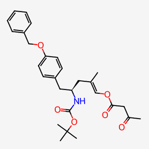 CC(=O)CC(=O)OC=C(C)C[C@H](Cc1ccc(OCc2ccccc2)cc1)NC(=O)OC(C)(C)C